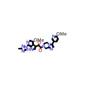 COc1ccc(-c2cnc3n2CCN(C(=O)C(=O)c2c[nH]c4c(-n5cnc(C)n5)ncc(OC)c24)C3)cn1